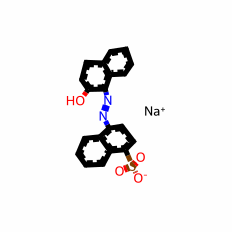 O=S(=O)([O-])c1ccc(N=Nc2c(O)ccc3ccccc23)c2ccccc12.[Na+]